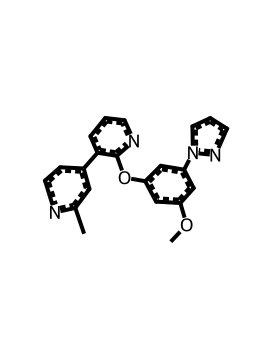 COc1cc(Oc2ncccc2-c2ccnc(C)c2)cc(-n2cccn2)c1